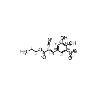 CCCOC(=O)/C(C#N)=C/c1cc(O)c(O)c([N+](=O)[O-])c1